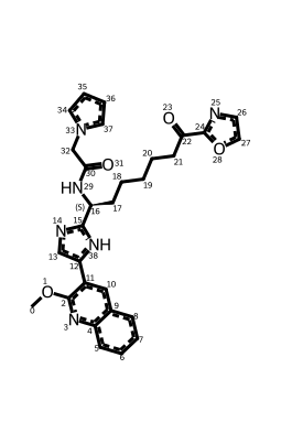 COc1nc2ccccc2cc1-c1cnc([C@H](CCCCCC(=O)c2ncco2)NC(=O)Cn2cccc2)[nH]1